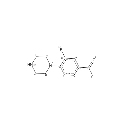 CC(=O)c1ccc(N2CCNCC2)c(F)c1